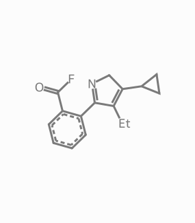 CCC1=C(C2CC2)CN=C1c1ccccc1C(=O)F